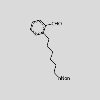 CCCCCCCCCCCCCCCc1ccccc1C=O